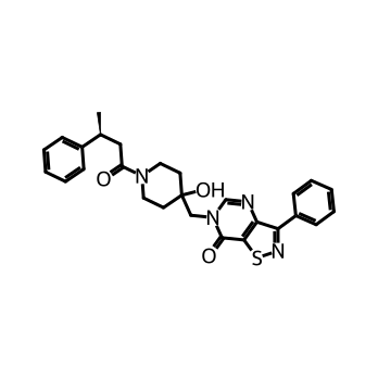 C[C@@H](CC(=O)N1CCC(O)(Cn2cnc3c(-c4ccccc4)nsc3c2=O)CC1)c1ccccc1